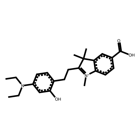 CCN(CC)c1ccc(CCC2=[N+](C)c3ccc(C(=O)O)cc3C2(C)C)c(O)c1